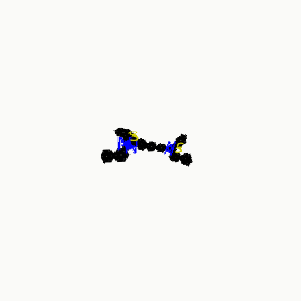 c1ccc(-c2cccc(-c3nc(-c4ccc(-c5ccc(-c6ccc(-c7nc(-c8cccc(-c9ccccc9)c8)c8sc9ccccc9c8n7)cc6)cc5)cc4)c4sc5ccccc5c4n3)c2)cc1